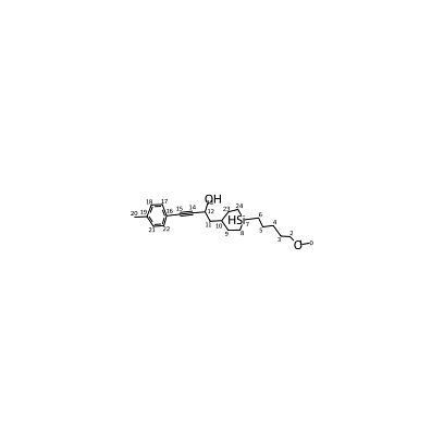 COCCCCC[SiH]1CCC(CC(O)C#Cc2ccc(C)cc2)CC1